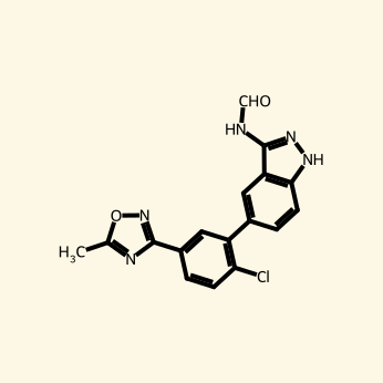 Cc1nc(-c2ccc(Cl)c(-c3ccc4[nH]nc(NC=O)c4c3)c2)no1